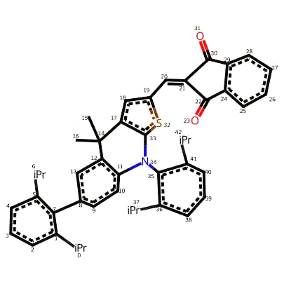 CC(C)c1cccc(C(C)C)c1-c1ccc2c(c1)C(C)(C)c1cc(C=C3C(=O)c4ccccc4C3=O)sc1N2c1c(C(C)C)cccc1C(C)C